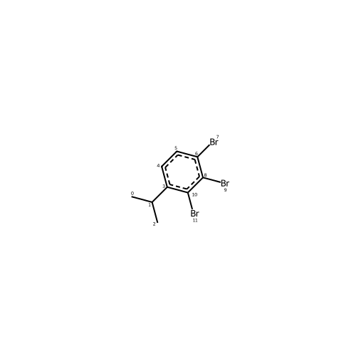 CC(C)c1ccc(Br)c(Br)c1Br